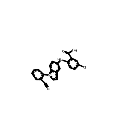 N#Cc1ccccc1-n1ccc2cc(Nc3ccc(Cl)cc3C(=O)O)ccc21